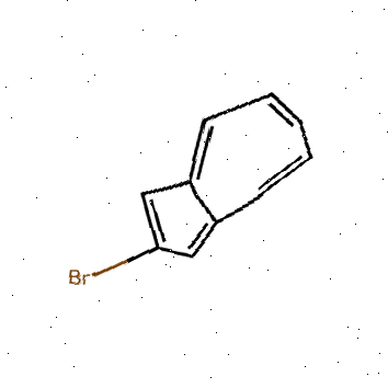 Brc1cc2cccccc-2c1